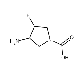 NC1CN(C(=O)O)CC1F